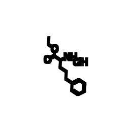 CCOC(=O)C(N)CCCc1ccccc1.Cl